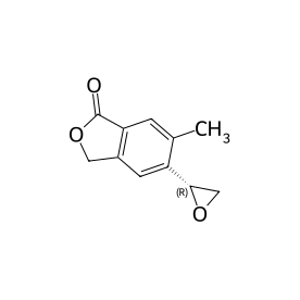 Cc1cc2c(cc1[C@@H]1CO1)COC2=O